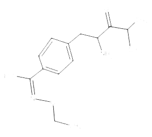 CCO/N=C(/C)c1ccc(CC(N)C(=O)C(C)C)cc1